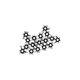 Cc1cccc(C)c1-c1ccc(N(c2ccc(-c3c(C)cccc3C)cc2)c2cc3c4c(c2)N(c2ccccc2)c2cc5c(cc2B4c2ccccc2N3c2ccccc2)B2c3ccccc3N(c3ccccc3)c3cc(N(c4ccc(-c6c(C)cccc6C)cc4)c4ccc(-c6c(C)cccc6C)cc4)cc(c32)N5c2ccccc2)cc1